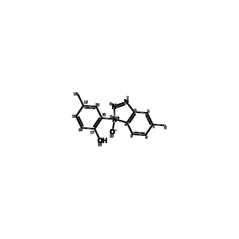 Cc1ccc2c(c1)N=N[N+]2([O-])c1cc(C)ccc1O